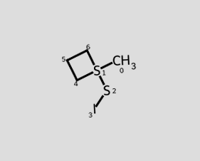 CS1(SI)CCC1